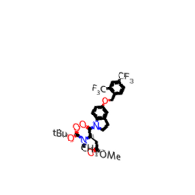 COC(=O)C[C@H](C(=O)N1CCc2cc(OCc3ccc(C(F)(F)F)cc3C(F)(F)F)ccc21)N(C)C(=O)OC(C)(C)C